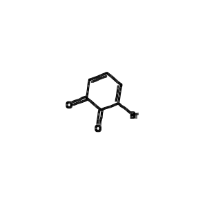 O=C1C=CC=C(Br)C1=O